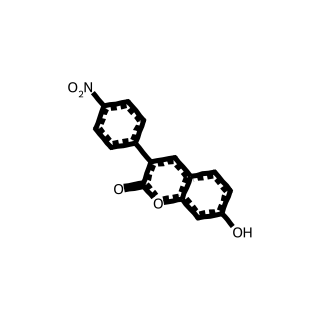 O=c1oc2cc(O)ccc2cc1-c1ccc([N+](=O)[O-])cc1